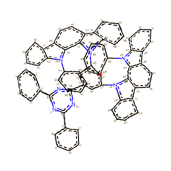 c1ccc(-c2nc(-c3ccccc3)nc(-c3cc(-n4c5ccccc5c5ccc6c7ccccc7n(-c7ccccc7)c6c54)cc(-n4c5ccccc5c5ccc6c7ccccc7n(-c7ccccc7)c6c54)c3)n2)cc1